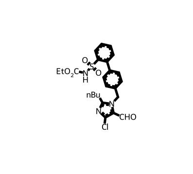 CCCCc1nc(Cl)c(C=O)n1Cc1ccc(-c2ccccc2S(=O)(=O)NC(=O)OCC)cc1